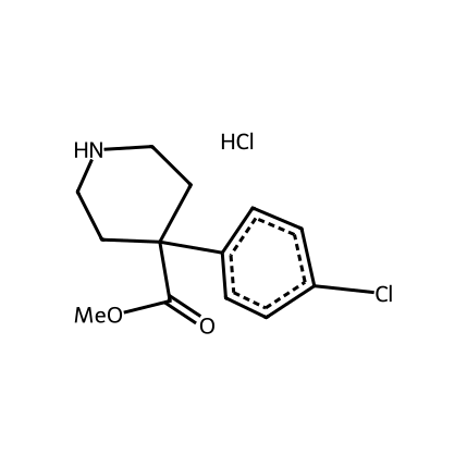 COC(=O)C1(c2ccc(Cl)cc2)CCNCC1.Cl